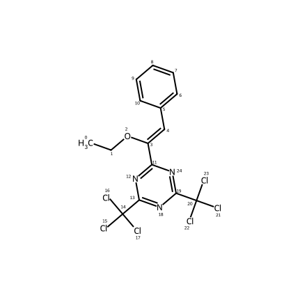 CCOC(=Cc1ccccc1)c1nc(C(Cl)(Cl)Cl)nc(C(Cl)(Cl)Cl)n1